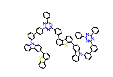 c1ccc(-c2nc(-c3ccccc3)nc(-c3cccc(-c4cccc(-n5c6ccccc6c6cc(-c7cccc8c7sc7cccc(-c9cccc(-c%10nc(-c%11ccccc%11)nc(-c%11ccc(-c%12cccc(-n%13c%14ccccc%14c%14cc(-c%15cccc%16c%15sc%15ccccc%15%16)ccc%14%13)c%12)cc%11)n%10)c9)c78)ccc65)c4)c3)n2)cc1